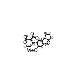 COc1cc2c(c3oc(=O)c4c(c13)CCOC4=O)C1C=COC1O2